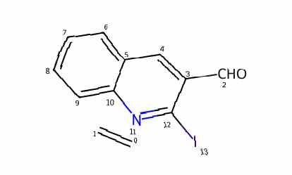 C=C.O=Cc1cc2ccccc2nc1I